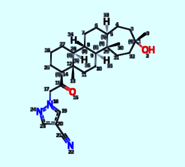 C[C@]1(O)CC[C@@H]2CC[C@@H]3[C@H](CC[C@]4(C)[C@@H](C(=O)Cn5cc(C#N)cn5)CCC[C@@H]34)[C@@]2(C)CC1